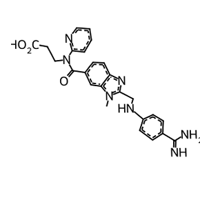 Cn1c(CNc2ccc(C(=N)N)cc2)nc2ccc(C(=O)N(CCC(=O)O)c3ccccn3)cc21